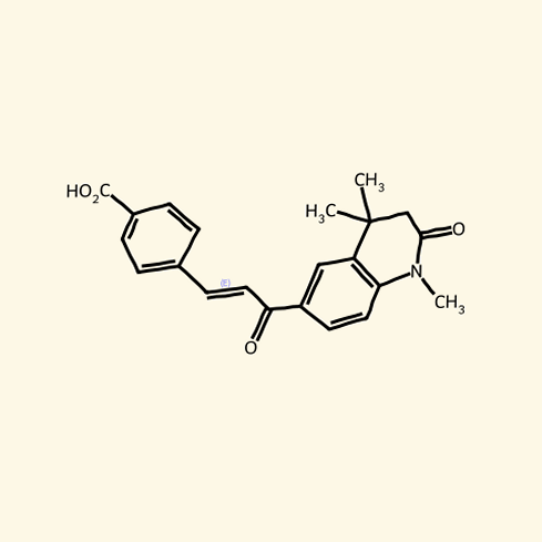 CN1C(=O)CC(C)(C)c2cc(C(=O)/C=C/c3ccc(C(=O)O)cc3)ccc21